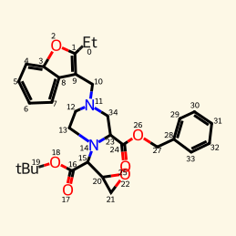 CCc1oc2ccccc2c1CN1CCN(C(C(=O)OC(C)(C)C)C2CO2)C(C(=O)OCc2ccccc2)C1